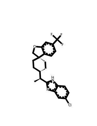 C[C@H](c1nc2cc(Cl)ccc2[nH]1)[C@H]1CC[C@]2(CC1)COc1cc(C(F)(F)F)ccc12